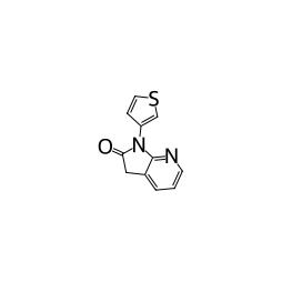 O=C1Cc2cccnc2N1c1ccsc1